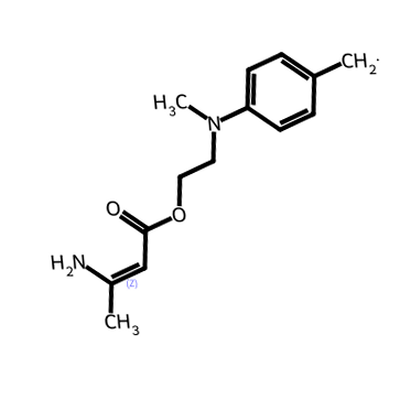 [CH2]c1ccc(N(C)CCOC(=O)/C=C(/C)N)cc1